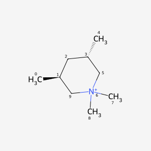 C[C@H]1C[C@H](C)C[N+](C)(C)C1